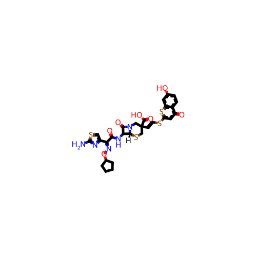 Nc1nc(C(=NOC2CCCC2)C(=O)NC2C(=O)N3CC(C=CSc4cc(=O)c5ccc(O)cc5s4)(C(=O)O)CS[C@H]23)cs1